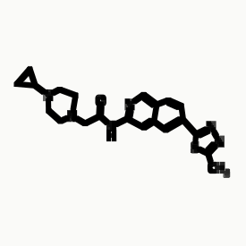 Cc1nnc(-c2ccc3cnc(NC(=O)CN4CCN(C5CC5)CC4)cc3c2)s1